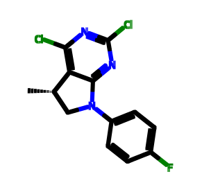 C[C@H]1CN(c2ccc(F)cc2)c2nc(Cl)nc(Cl)c21